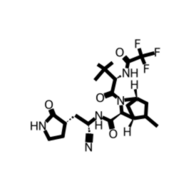 CC1C[C@@H]2C[C@H]1[C@@H](C(=O)N[C@H](C#N)C[C@@H]1CCNC1=O)N2C(=O)[C@@H](NC(=O)C(F)(F)F)C(C)(C)C